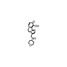 O=c1ccn2c(c1O)-c1ncc(CNC3CCOCC3)n1CC2